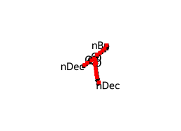 CCCC/C=C\CCCCCCCC(=O)O[C@@H](COC(=O)CCCCCCCCCCCCCCC)COC(=O)CCCCCCCCCCCCCCCCCCCCCCC